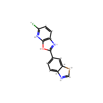 Fc1ccc2nc(-c3ccc4ncsc4c3)oc2n1